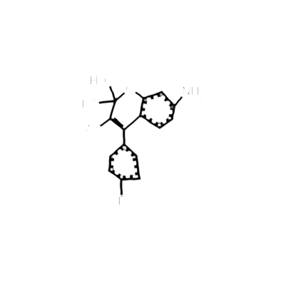 CC(=O)C1=C(c2ccc(F)cc2)c2ccc(N)cc2OC1(C)C